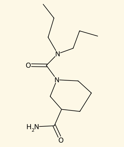 CCCN(CCC)C(=O)N1CCCC(C(N)=O)C1